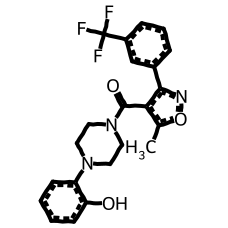 Cc1onc(-c2cccc(C(F)(F)F)c2)c1C(=O)N1CCN(c2ccccc2O)CC1